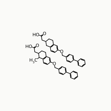 CC1c2ccc(OCc3ccc(-c4ccccc4)cc3)cc2CCC1CC(=O)O.O=C(O)CC1CCc2cc(OCc3ccc(-c4ccccc4)cc3)ccc2C1